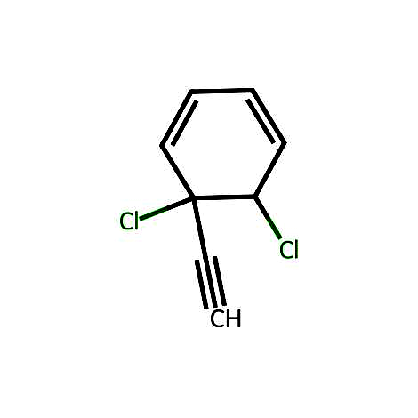 C#CC1(Cl)C=CC=CC1Cl